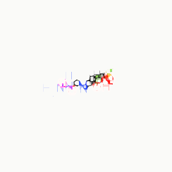 CCC(=O)O[C@]1(C(=O)SCF)[C@H](C)C[C@H]2[C@@H]3CCC4=Cc5c(cnn5-c5cccc(C(=O)NCC(N)=O)c5)C[C@]4(C)[C@@]3(F)C(O)CC21C